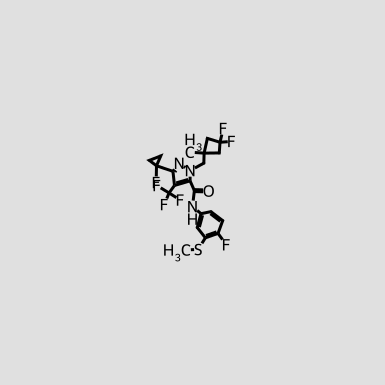 CSc1cc(NC(=O)c2c(C(F)(F)F)c(C3(F)CC3)nn2CC2(C)CC(F)(F)C2)ccc1F